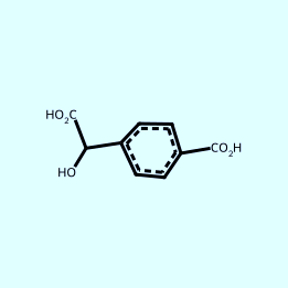 O=C(O)c1ccc(C(O)C(=O)O)cc1